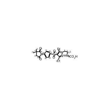 CCc1nn(C[C@H](C)NC(=O)O)c(CC)c1S(=O)(=O)c1ccc(N2C(=O)CC(C)(C)C2=O)cc1